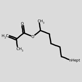 C=C(C)C(=O)OC(C)CCCCCCCCCCC